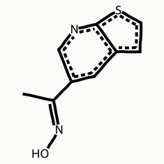 CC(=NO)c1cnc2sccc2c1